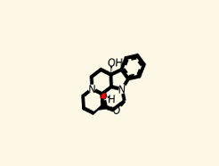 O[C@]12CCN3CCC[C@]45CC6OC(C4)N(c4ccccc41)[C@@]2(O6)[C@H]35